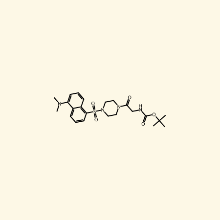 CN(C)c1cccc2c(S(=O)(=O)N3CCN(C(=O)CNC(=O)OC(C)(C)C)CC3)cccc12